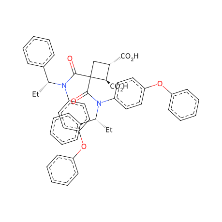 CC[C@H](c1ccccc1)N(C(=O)C1(C(=O)N(c2ccc(Oc3ccccc3)cc2)[C@H](CC)c2ccccc2)C[C@H](C(=O)O)[C@H]1C(=O)O)c1ccc(Oc2ccccc2)cc1